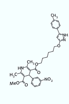 COC(=O)C1=C(C)NC(C)=C(C(=O)OCCCCCCOc2cc(-c3ccc(C)cc3)[nH]n2)C1c1cccc([N+](=O)[O-])c1